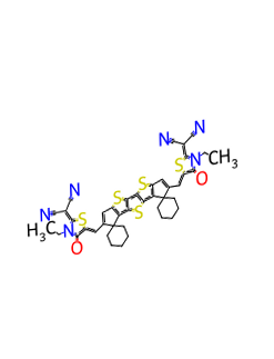 CCn1c(=C(C#N)C#N)s/c(=C\C2=Cc3sc4c(sc5c6c(sc54)C=C(/C=c4\sc(=C(C#N)C#N)n(CC)c4=O)C64CCCCC4)c3C23CCCCC3)c1=O